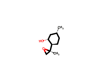 C[C@@H]1CC[C@@H]([C@@]2(C)CO2)[C@H](O)C1